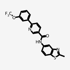 Cc1nc2cc(NC(=O)c3ccc(-c4cccc(OC(F)(F)F)c4)nc3)ccc2s1